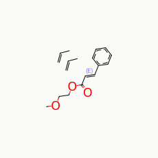 C=CC.C=CC.COCCOC(=O)/C=C/c1ccccc1